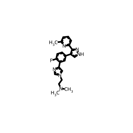 Cc1cccc(-c2n[nH]cc2-c2ccc(F)c(-c3cn(CCN(C)C)cn3)c2)n1